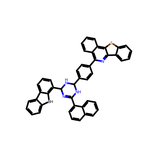 B1c2ccccc2-c2cccc(C3N=C(c4cccc5ccccc45)NC(c4ccc(-c5nc6c7ccccc7sc6c6ccccc56)cc4)N3)c21